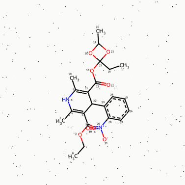 CCOC(=O)C1=C(C)NC(C)=C(C(=O)OC2(CC)OC(C)O2)C1c1ccccc1[N+](=O)[O-]